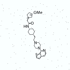 CO[C@H]1CC[C@H](CC(=O)N[C@H]2CC[C@H](CCN3CCN(c4nccc5ccsc45)CC3)CC2)C1